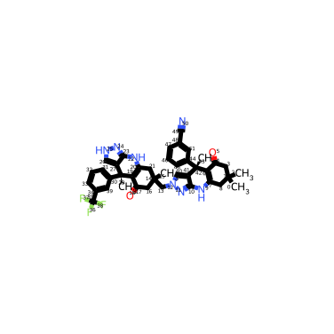 CC1(C)CC(=O)C2=C(C1)Nc1nn(CC3(C)CC(=O)C4=C(C3)Nc3n[nH]cc3[C@]4(C)c3cccc(C(F)(F)F)c3)cc1[C@]2(C)c1cccc(C#N)c1